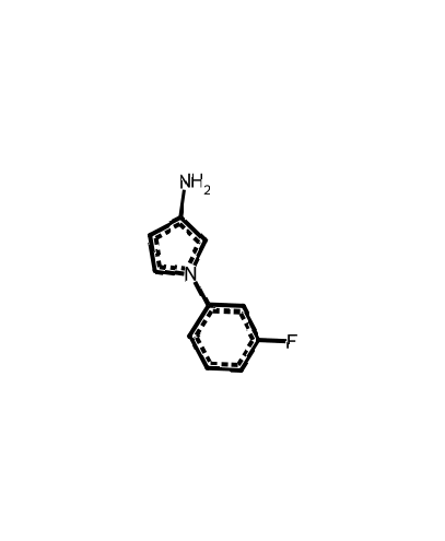 Nc1ccn(-c2cccc(F)c2)c1